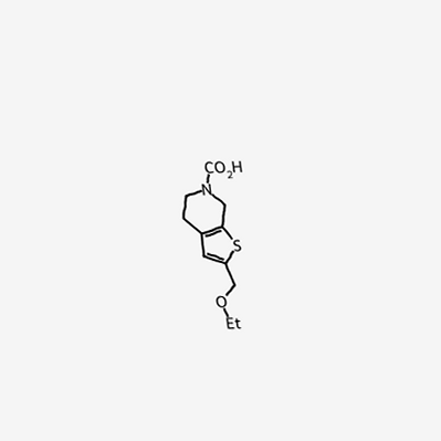 CCOCc1cc2c(s1)CN(C(=O)O)CC2